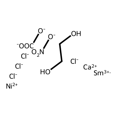 O=C([O-])[O-].O=[N+]([O-])[O-].OCCO.[Ca+2].[Cl-].[Cl-].[Cl-].[Cl-].[Ni+2].[Sm+3]